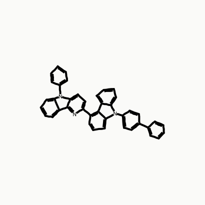 c1ccc(-c2ccc(-n3c4ccccc4c4c(-c5ccc6c(n5)c5ccccc5n6-c5ccccc5)cccc43)cc2)cc1